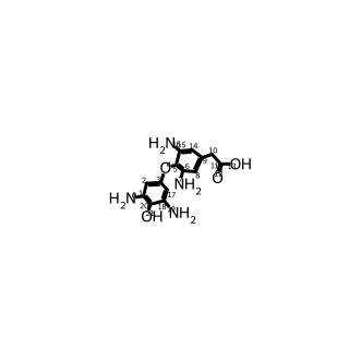 Nc1cc(Oc2c(N)cc(CC(=O)O)cc2N)cc(N)c1O